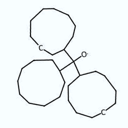 [O]C(C1CCCCCCCCC1)(C1CCCCCCCCC1)C1CCCCCCCCC1